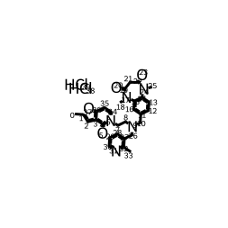 Cc1cc2c(=O)n(CCN(Cc3ccc4c(c3)N(C)C(=O)CC(=O)N4C)Cc3cccnc3C)ccc2o1.Cl.Cl